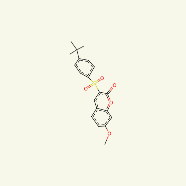 COc1ccc2cc(S(=O)(=O)c3ccc(C(C)(C)C)cc3)c(=O)oc2c1